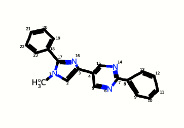 Cn1cc(-c2cnc(-c3ccccc3)nc2)nc1-c1ccccc1